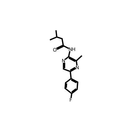 Cc1nc(-c2ccc(F)cc2)cnc1NC(=O)CC(C)C